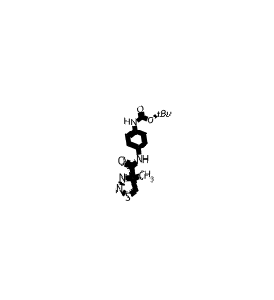 CC(C)(C)OC(=O)Nc1ccc(NC(=O)C2(C)CSN=N2)cc1